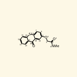 CNC(=O)COc1ccc2sc3ccccc3c(=O)c2c1